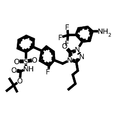 CCCCc1nn(-c2cc(N)ccc2C(F)(F)F)c(=O)n1Cc1ccc(-c2ccccc2S(=O)(=O)NC(=O)OC(C)(C)C)cc1F